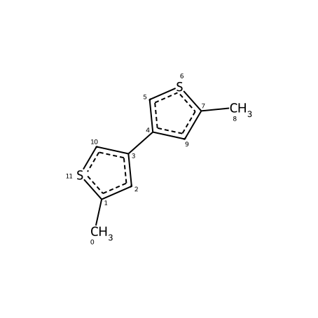 Cc1cc(-c2csc(C)c2)cs1